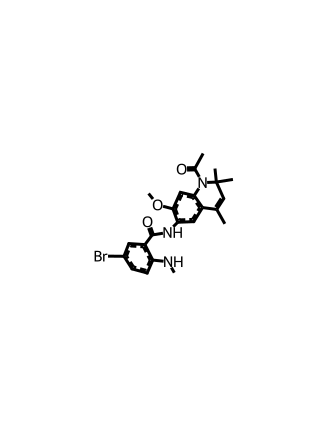 CNc1ccc(Br)cc1C(=O)Nc1cc2c(cc1OC)N(C(C)=O)C(C)(C)C=C2C